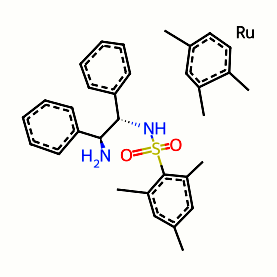 Cc1cc(C)c(S(=O)(=O)N[C@@H](c2ccccc2)[C@@H](N)c2ccccc2)c(C)c1.Cc1ccc(C)c(C)c1.[Ru]